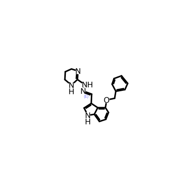 C(=N\NC1=NCCCN1)/c1c[nH]c2cccc(OCc3ccccc3)c12